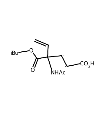 C=CC([CH][CH]C(=O)O)(NC(C)=O)C(=O)OC(C)CC